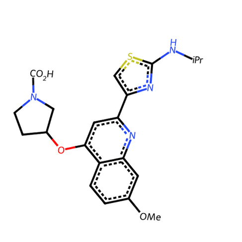 COc1ccc2c(OC3CCN(C(=O)O)C3)cc(-c3csc(NC(C)C)n3)nc2c1